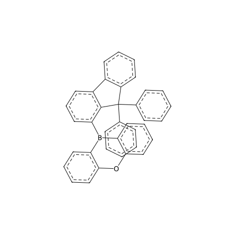 c1ccc(C2(c3ccccc3)c3ccccc3-c3cccc(B4c5ccccc5Oc5ccccc54)c32)cc1